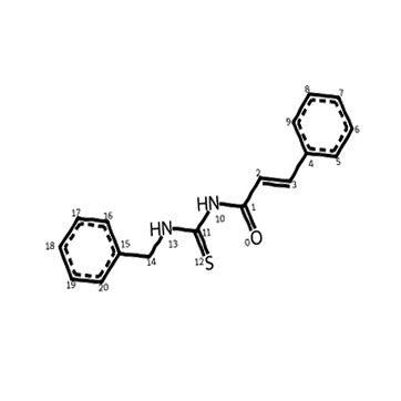 O=C(/C=C/c1ccccc1)NC(=S)NCc1ccccc1